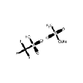 COS(=O)(=O)C(F)(F)F.O=S(=O)(O)C(F)(F)F